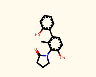 Cc1c(-c2ccccc2O)ccc(O)c1N1CCCC1=O